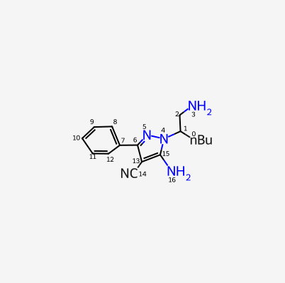 CCCCC(CN)n1nc(-c2ccccc2)c(C#N)c1N